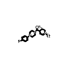 C=C(C1CCN(CC)CC1)N1CCN(c2ccc(F)cc2)CC1